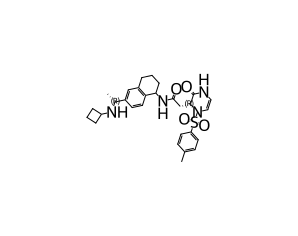 Cc1ccc(S(=O)(=O)N2C=CNC(=O)[C@H]2CC(=O)NC2CCCc3cc([C@@H](C)NC4CCC4)ccc32)cc1